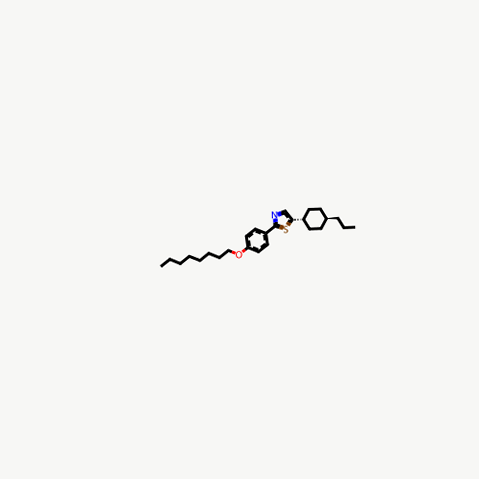 CCCCCCCCOc1ccc(-c2ncc([C@H]3CC[C@H](CCC)CC3)s2)cc1